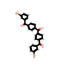 O=C(c1ccc(C(=O)c2cccc(Br)c2)cc1)c1ccc(C(=O)c2cccc(Br)c2)cc1